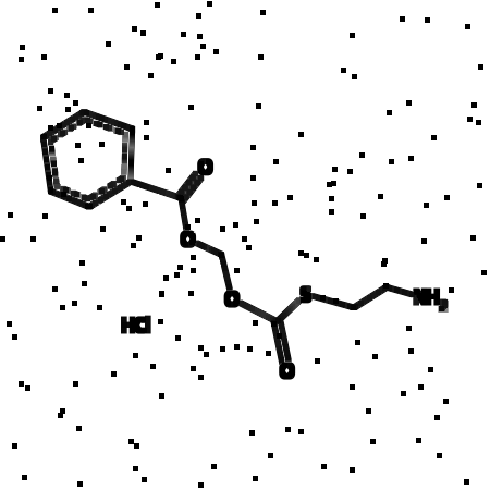 Cl.NCCSC(=O)OCOC(=O)c1ccccc1